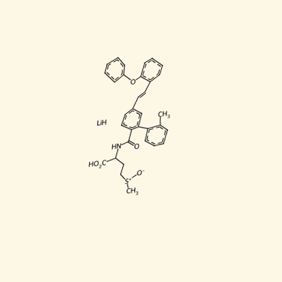 Cc1ccccc1-c1cc(C=Cc2ccccc2Oc2ccccc2)ccc1C(=O)NC(CC[S+](C)[O-])C(=O)O.[LiH]